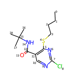 CCCCSc1nc(Cl)ncc1C(=O)NC(C)(C)C